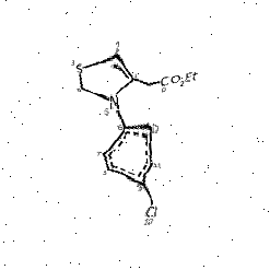 CCOC(=O)C1=CSCN1c1ccc(Cl)cc1